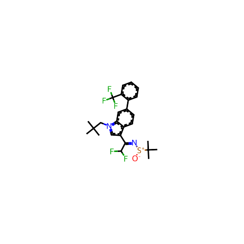 CC(C)(C)Cn1cc(C(=N[S@@+]([O-])C(C)(C)C)C(F)F)c2ccc(-c3ccccc3C(F)(F)F)cc21